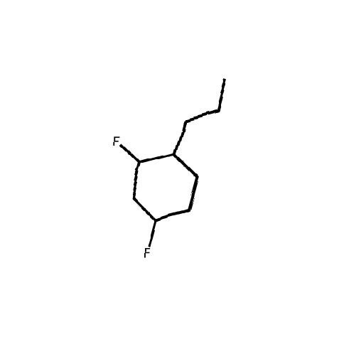 CCCC1CCC(F)CC1F